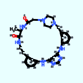 CC1NC(=O)CN2CCN(CC2)Cc2cccc(c2)Nc2cc(ncn2)Nc2cccc(c2)CCNC1=O